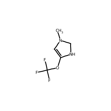 CN1[C]=C(OC(F)(F)F)NC1